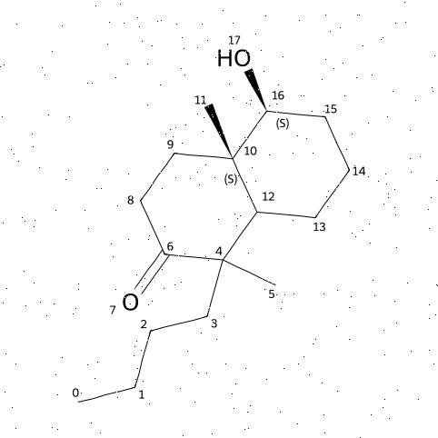 CCCCC1(C)C(=O)CC[C@@]2(C)C1CCC[C@@H]2O